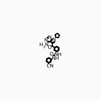 N#Cc1cccc(NC(=O)Nc2cccc(C(=O)c3cn(C4CCCC4)c4ncnc(N)c34)c2)c1